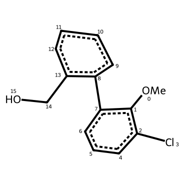 COc1c(Cl)cccc1-c1ccccc1CO